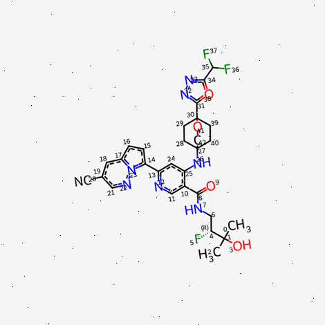 CC(C)(O)[C@H](F)CNC(=O)c1cnc(-c2ccc3cc(C#N)cnn23)cc1NC12CCC(c3nnc(C(F)F)o3)(CC1)OC2